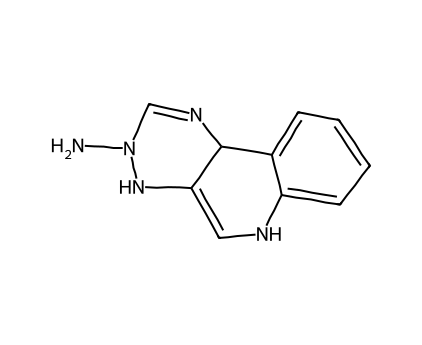 NN1C=NC2C(=CNc3ccccc32)N1